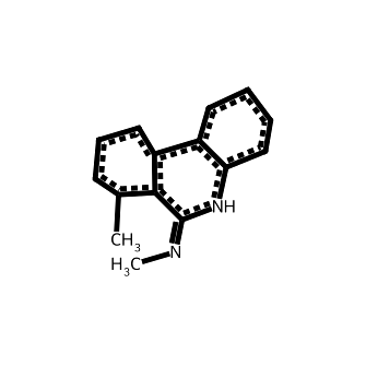 C/N=c1/[nH]c2ccccc2c2cccc(C)c12